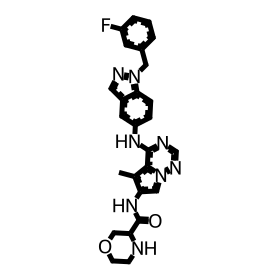 Cc1c(NC(=O)C2COCCN2)cn2ncnc(Nc3ccc4c(cnn4Cc4cccc(F)c4)c3)c12